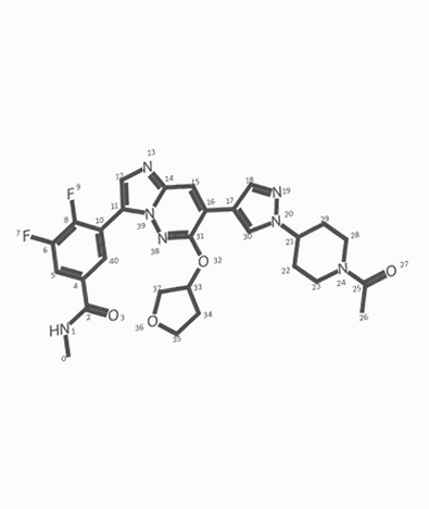 CNC(=O)c1cc(F)c(F)c(-c2cnc3cc(-c4cnn(C5CCN(C(C)=O)CC5)c4)c(OC4CCOC4)nn23)c1